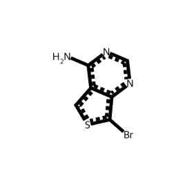 Nc1ncnc2c(Br)scc12